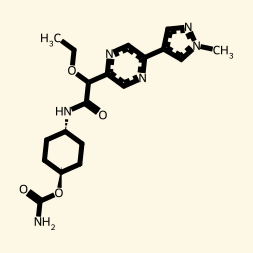 CCOC(C(=O)N[C@H]1CC[C@H](OC(N)=O)CC1)c1cnc(-c2cnn(C)c2)cn1